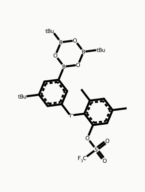 Cc1cc(C)c([I+]c2cc(B3OB(C(C)(C)C)OB(C(C)(C)C)O3)cc(C(C)(C)C)c2)c(OS(=O)(=O)C(F)(F)F)c1